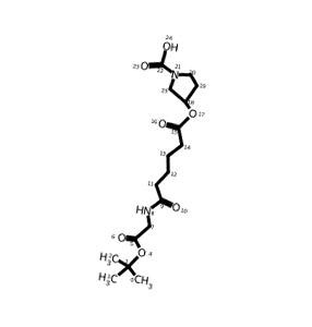 CC(C)(C)OC(=O)CNC(=O)CCCCC(=O)OC1CCN(C(=O)O)C1